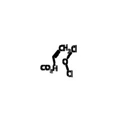 C=CC(=O)O.ClOCl